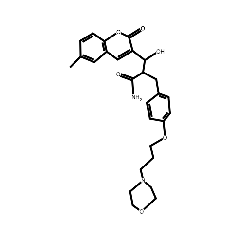 Cc1ccc2oc(=O)c(C(O)C(Cc3ccc(OCCCN4CCOCC4)cc3)C(N)=O)cc2c1